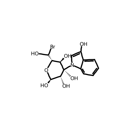 Oc1cn([C@]2(O)[C@H](O)[C@@H](C(O)Br)O[C@H](O)[C@H]2O)c2ccccc12